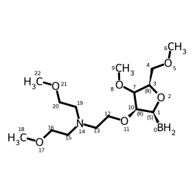 B[C@@H]1O[C@H](COC)C(OC)[C@@H]1OCCN(CCOC)CCOC